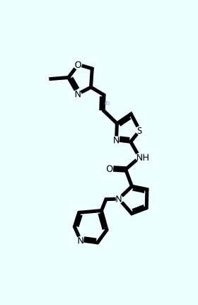 CC1=NC(/C=C/c2csc(NC(=O)c3cccn3Cc3ccncc3)n2)CO1